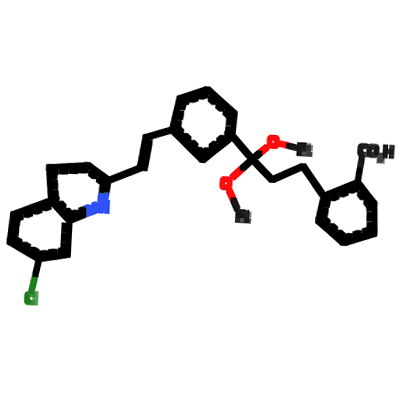 CCOC(CCc1ccccc1C(=O)O)(OCC)c1cccc(/C=C/c2ccc3ccc(Cl)cc3n2)c1